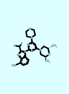 C[C@H]1CN(c2cc(N3CCOCC3)nc(-n3c(C(F)F)nc4c(O)cccc43)n2)C[C@H](C)O1